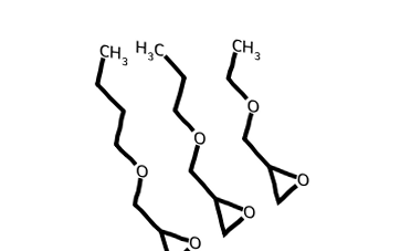 CCCCOCC1CO1.CCCOCC1CO1.CCOCC1CO1